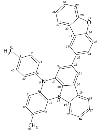 Cc1ccc(N2c3ccc(C)cc3B3c4ccccc4-c4cc(-c5ccc6oc7ccccc7c6c5)cc2c43)cc1